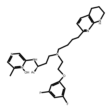 CC(=O)[C@H](CCN(CCCCc1ccc2c(n1)NCCC2)CCOc1cc(F)cc(F)c1)Nc1cncc(C)[n+]1O